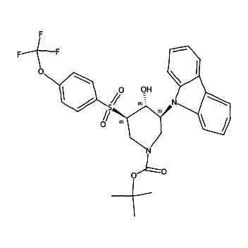 CC(C)(C)OC(=O)N1C[C@@H](S(=O)(=O)c2ccc(OC(F)(F)F)cc2)[C@H](O)[C@@H](n2c3ccccc3c3ccccc32)C1